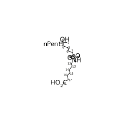 CCCCCC(C)(O)CCCCS(=O)(=O)NCCCCCCC(=O)O